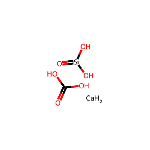 O=C(O)O.O=[Si](O)O.[CaH2]